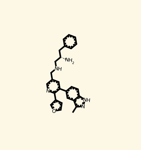 Cc1n[nH]c2ccc(-c3cc(CNC[C@@H](N)Cc4ccccc4)cnc3-c3ccoc3)cc12